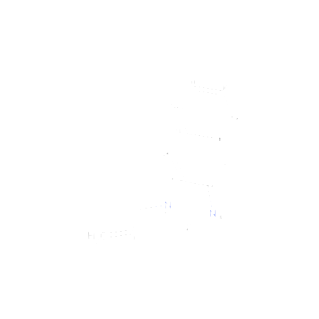 C=CCn1cnc2cc3ccccc3cc21